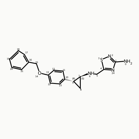 Nc1nsc(CN[C@H]2C[C@@H]2c2ccc(OCc3ccccc3)cc2)n1